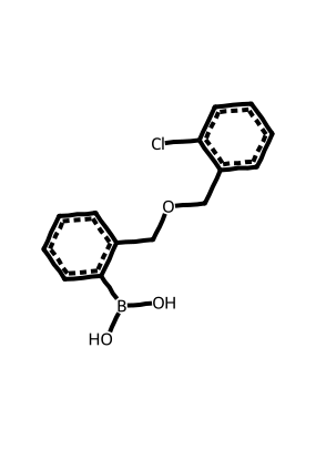 OB(O)c1ccccc1COCc1ccccc1Cl